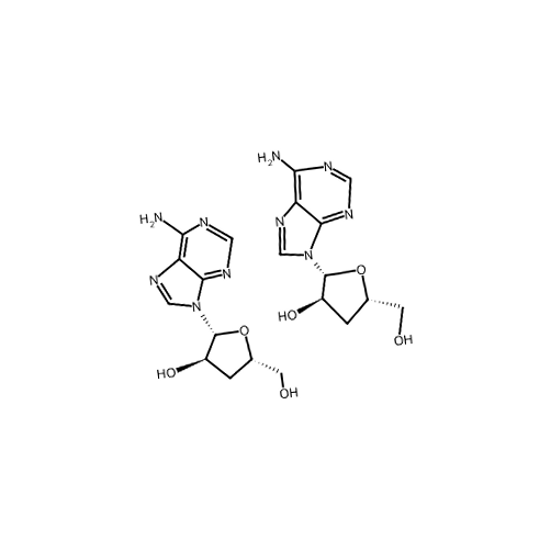 Nc1ncnc2c1ncn2[C@@H]1O[C@H](CO)C[C@H]1O.Nc1ncnc2c1ncn2[C@@H]1O[C@H](CO)C[C@H]1O